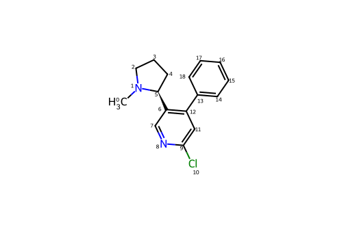 CN1CCC[C@H]1c1cnc(Cl)cc1-c1ccccc1